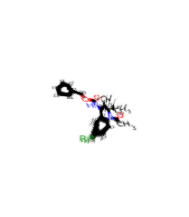 CC[C@H]1[C@H](C)C(NC(=O)OCc2ccccc2)c2cc(Br)ccc2N1C(C)=O